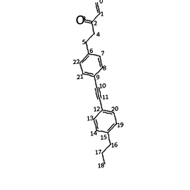 C=CC(=O)CCc1ccc(C#Cc2ccc(CCC)cc2)cc1